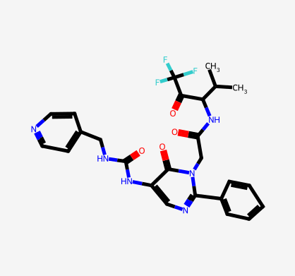 CC(C)C(NC(=O)Cn1c(-c2ccccc2)ncc(NC(=O)NCc2ccncc2)c1=O)C(=O)C(F)(F)F